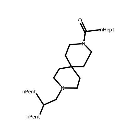 CCCCCCCC(=O)N1CCC2(CCN(CC(CCCCC)CCCCC)CC2)CC1